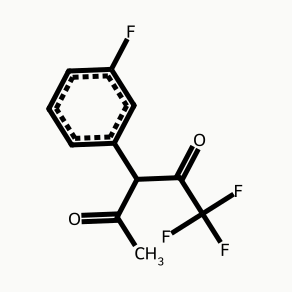 CC(=O)C(C(=O)C(F)(F)F)c1cccc(F)c1